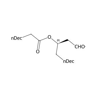 CCCCCCCCCCCC(=O)O[C@@H](C[C]=O)CCCCCCCCCCC